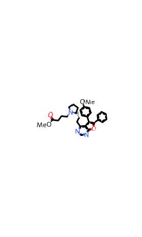 COC(=O)CCCN1CCC[C@@H]1CCc1ncnc2oc(-c3ccccc3)c(-c3ccc(OC)cc3)c12